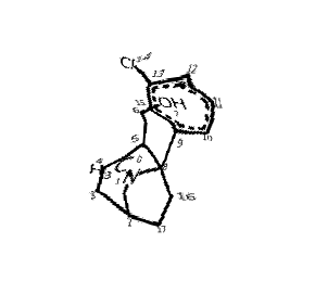 CN1C2CCC(CO)C1(c1cccc(Cl)c1)CC2